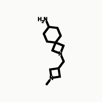 CN1CC(CN2CC3(CCC(N)CC3)C2)C1